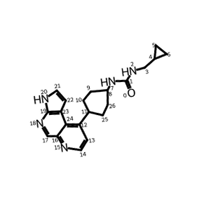 O=C(NCC1CC1)NC1CCC(c2ccnc3cnc4[nH]ccc4c23)CC1